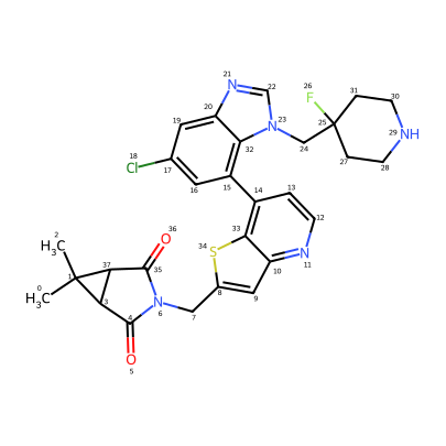 CC1(C)C2C(=O)N(Cc3cc4nccc(-c5cc(Cl)cc6ncn(CC7(F)CCNCC7)c56)c4s3)C(=O)C21